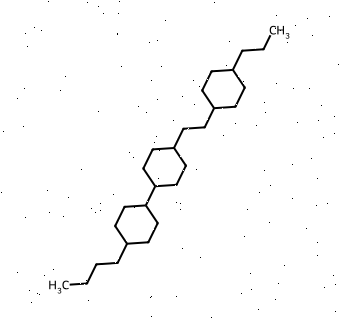 CCCCC1CCC(C2CCC(CCC3CCC(CCC)CC3)CC2)CC1